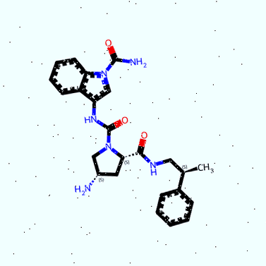 C[C@H](CNC(=O)[C@@H]1C[C@H](N)CN1C(=O)Nc1cn(C(N)=O)c2ccccc12)c1ccccc1